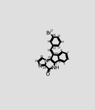 O=c1[nH]c2c3ccccc3/c(=C\c3cccc(Br)c3)c2n2ccnc12